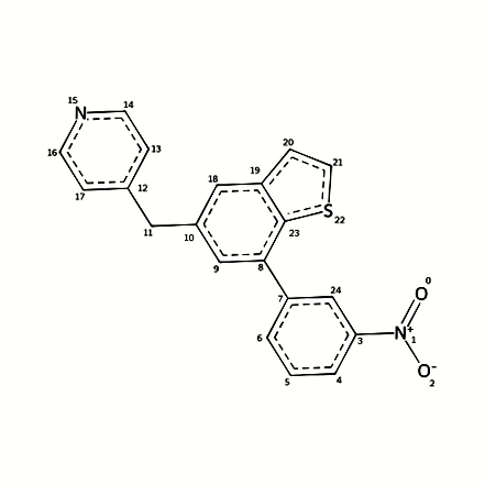 O=[N+]([O-])c1cccc(-c2cc(Cc3ccncc3)cc3ccsc23)c1